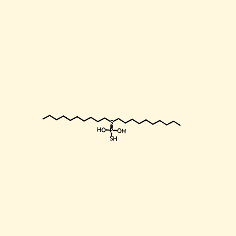 CCCCCCCCCCS(CCCCCCCCCC)=P(O)(O)S